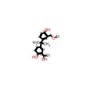 CCOCc1cc(C(C)(C)c2ccc(O)c(C(O)CC)c2)ccc1O